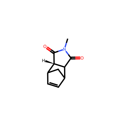 CN1C(=O)C2C3C=CC(C3)[C@@H]2C1=O